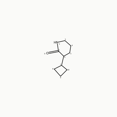 O=C1NCCCC1C1CCC1